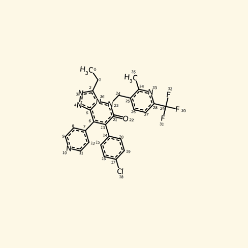 CCc1nnc2c(-c3ccncc3)c(-c3ccc(Cl)cc3)c(=O)n(Cc3ccc(C(F)(F)F)nc3C)n12